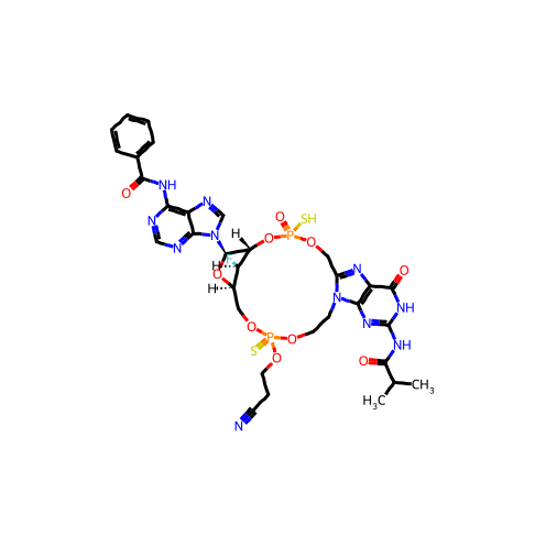 CC(C)C(=O)Nc1nc2c(nc3n2CCOP(=S)(OCCC#N)OC[C@H]2O[C@@H](n4cnc5c(NC(=O)c6ccccc6)ncnc54)[C@H](OP(=O)(S)OC3)[C@@H]2F)c(=O)[nH]1